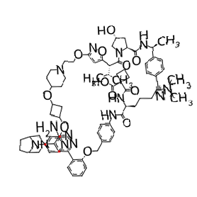 CC(C)[C@@H](C(=O)N1C[C@H](O)C[C@H]1C(=O)N[C@@H](C)c1ccc(C#N)cc1)c1cc(OCCN2CCC(OC3CC(Oc4cc(N5C6CCC5CN(c5cc(-c7ccccc7OCc7ccc(NC(=O)[C@H](CCCCN(C)C)NC(=O)C8(C(=O)O)CCC8)cc7)nnc5N)C6)ccn4)C3)CC2)no1